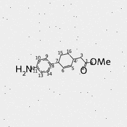 COC(=O)CC1C=CC(c2ccc(N)cc2)CC1